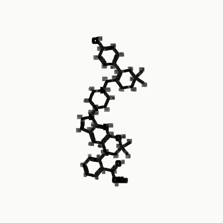 COC(=O)c1ccccc1N1CC(C)(C)Oc2nc3c(ccn3N3CCN(CC4=C(c5ccc(Cl)cc5)CC(C)(C)CC4)CC3)cc21